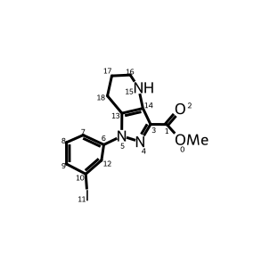 COC(=O)c1nn(-c2cccc(I)c2)c2c1NCCC2